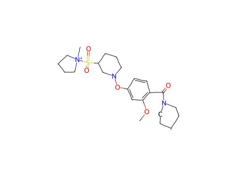 COc1cc(ON2CCCC(S(=O)(=O)[N+]3(C)CCCC3)C2)ccc1C(=O)N1CC[CH]CC1